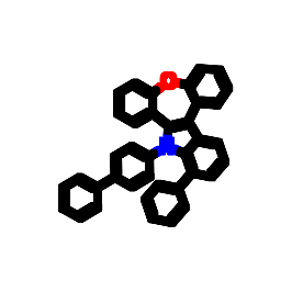 c1ccc(-c2ccc(-n3c4c(c5cccc(-c6ccccc6)c53)-c3ccccc3Oc3ccccc3-4)cc2)cc1